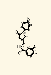 C[C@@H](NCC1CC(=O)N(c2ccc(F)cc2)C1)c1cccc(Cl)c1